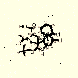 CC(=O)N1[C@@H](CC(C)(C)C)C2(C(=O)Nc3cc(Cl)ccc32)[C@@H](c2cccc(Cl)c2F)[C@@H]1C(=O)O